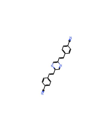 N#Cc1ccc(/C=C/c2cnc(/C=C/c3ccc(C#N)cc3)cn2)cc1